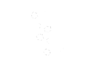 Cc1cccc(CNC(=O)c2ccccc2-c2ccccc2C(=O)N(CCC(=O)O)Cc2ccc(F)cc2)c1